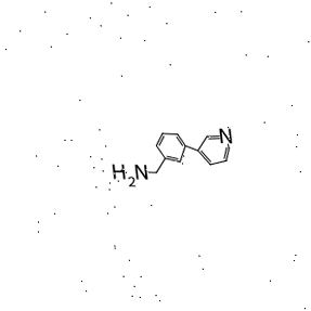 NCc1cccc(-c2cccnc2)c1